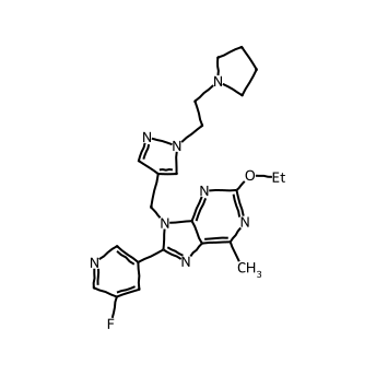 CCOc1nc(C)c2nc(-c3cncc(F)c3)n(Cc3cnn(CCN4CCCC4)c3)c2n1